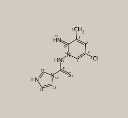 Cc1cc(Cl)cn(NC(=S)n2ccnc2)c1=N